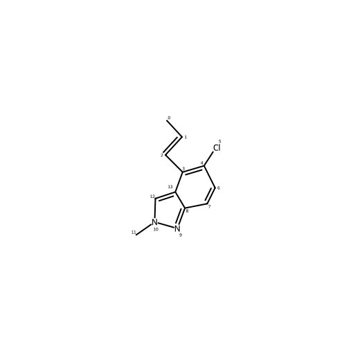 C/C=C/c1c(Cl)ccc2nn(C)cc12